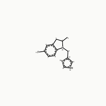 CC1Cc2cc(F)ccc2N1Cc1c[nH]cn1